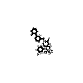 Cc1ccccc1-c1cccc(CN2CCC3(CC2C)CN(C)S(=O)(=O)N3c2cccc(F)c2)c1